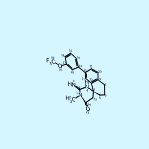 CN1C(=N)N[C@@]2(CCCc3ccc(-c4cccc(OC(F)(F)F)c4)cc32)CC1=O